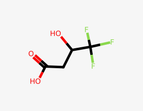 O=C(O)CC(O)C(F)(F)F